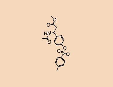 COC(=O)CC(NC(C)=O)c1ccc(OS(=O)(=O)c2ccc(C)cc2)cc1